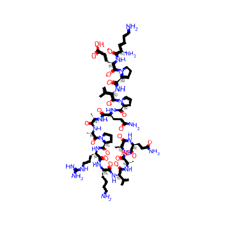 CC(C)[C@H](NC(=O)[C@H](CCCCN)NC(=O)[C@H](CCCNC(=N)N)NC(=O)[C@@H]1CCCN1C(=O)[C@H](C)NC(=O)[C@H](C)NC(=O)[C@H](CCC(N)=O)NC(=O)[C@@H]1CCCN1C(=O)[C@@H](NC(=O)[C@@H]1CCCN1C(=O)[C@H](CCC(=O)O)NC(=O)[C@@H](N)CCCCN)C(C)C)C(=O)N[C@@H](C)C(=O)N[C@@H](C)C(=O)N[C@@H](CCC(N)=O)C(=O)O